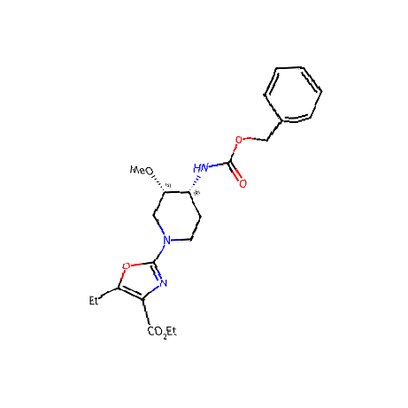 CCOC(=O)c1nc(N2CC[C@@H](NC(=O)OCc3ccccc3)[C@@H](OC)C2)oc1CC